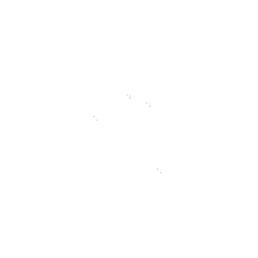 N#Cc1cnc2[nH]c(-c3ccccc3)c(-c3ccc(N4CCOCC4)cc3)c2c1